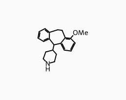 COc1cccc2c1CCc1ccccc1C2C1CCNCC1